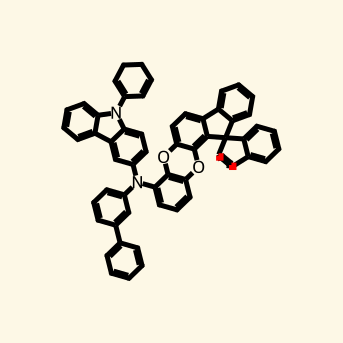 C1=CC(n2c3ccccc3c3cc(N(c4cccc(-c5ccccc5)c4)c4cccc5c4Oc4ccc6c(c4O5)C4(c5ccccc5-c5ccccc54)c4ccccc4-6)ccc32)=CCC1